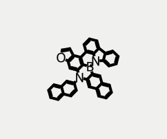 c1ccc2cc(N3c4cc5ccccc5cc4B4c5c3cc3occc3c5-c3cccc5c6ccccc6n4c35)ccc2c1